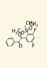 CC[Si](OC)(OC)c1c(F)cc(F)cc1C(=O)C(=O)c1ccccc1